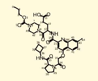 CCCOC(=O)N1CCN(C(=O)C(CCC(=O)O)NC(=O)c2cc(OCC(=O)N3CCCC3C(=O)NC3CCC3)c3ccc(C)cc3n2)CC1